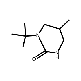 CC1CNC(=O)N(C(C)(C)C)C1